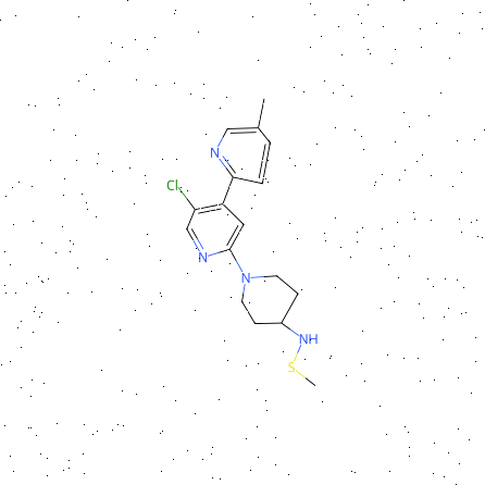 CSNC1CCN(c2cc(-c3ccc(C)cn3)c(Cl)cn2)CC1